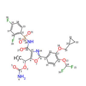 CC(OC(N)=O)c1oc(-c2ccc(OC(F)F)c(OCC3CC3)c2)nc1C(=O)NS(=O)(=O)c1ccc(F)cc1F